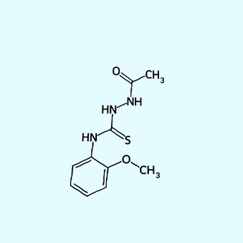 COc1ccccc1NC(=S)NNC(C)=O